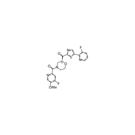 COc1cnc(C(=O)N2CCO[C@H](C(=O)c3ncc(-c4ncccc4F)s3)C2)cc1F